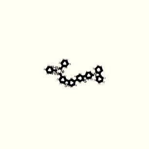 C1=Cc2c(n(-c3ccc4c(c3)sc3cc(-c5ccc6sc7ccc(C8N=C(c9ccccc9)NC(c9ccccc9)N8)cc7c6c5)ccc34)c3ccccc23)CC1